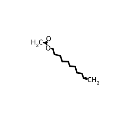 C=CCCCCCCCCCOC(C)=O